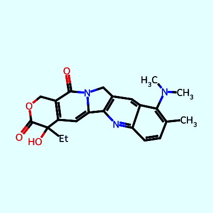 CCC1(O)C(=O)OCc2c1cc1n(c2=O)Cc2cc3c(N(C)C)c(C)ccc3nc2-1